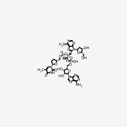 Cc1cn([C@H]2CC[C@@H](COP(=O)(O)OP(=O)(O)OP(=O)(O)OC[C@H]3O[C@@H](n4cnc5c(N)ncnc54)[C@H](O)[C@@H]3O)O2)c(=O)[nH]c1=O.Nc1ncnc2c1ncn2[C@H]1C[C@H](O)[C@@H](CO)O1